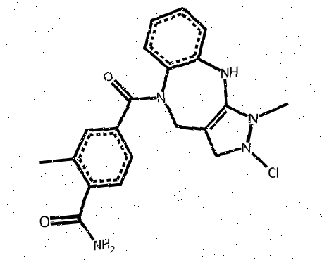 Cc1cc(C(=O)N2CC3=C(Nc4ccccc42)N(C)N(Cl)C3)ccc1C(N)=O